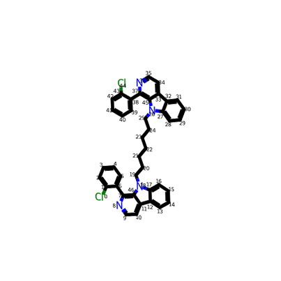 Clc1ccccc1-c1nccc2c3ccccc3n(CCCCCCCn3c4ccccc4c4ccnc(-c5ccccc5Cl)c43)c12